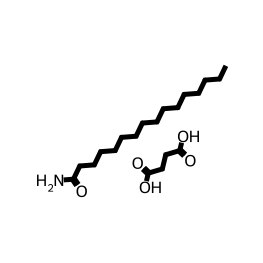 CCCCCCCCCCCCCCCC(N)=O.O=C(O)CCC(=O)O